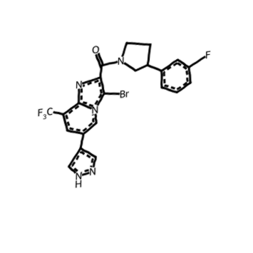 O=C(c1nc2c(C(F)(F)F)cc(-c3cn[nH]c3)cn2c1Br)N1CCC(c2cccc(F)c2)C1